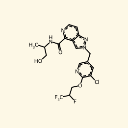 CC(CO)NC(=O)c1nccc2nn(Cc3cnc(OCC(F)C(F)(F)F)c(Cl)c3)cc12